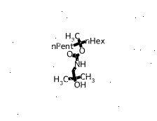 CCCCCCC(C)(CCCCC)OC(=O)NCC(C)(C)O